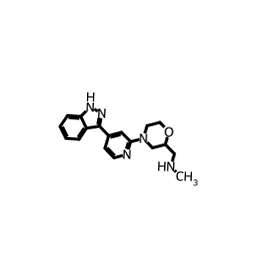 CNCC1CN(c2cc(-c3n[nH]c4ccccc34)ccn2)CCO1